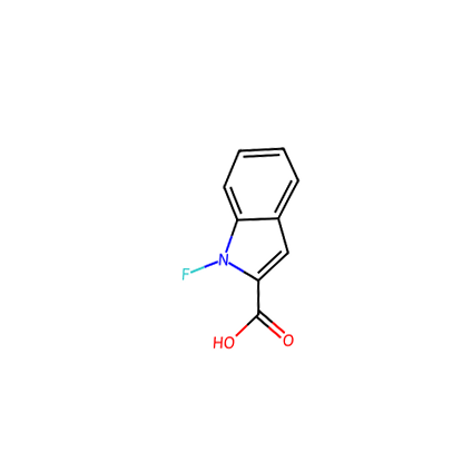 O=C(O)c1cc2ccccc2n1F